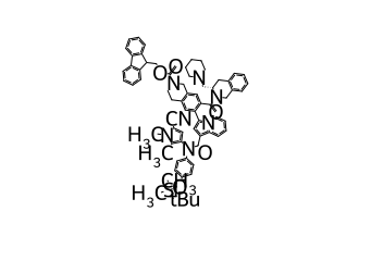 Cc1c(N(C(=O)c2cc(-c3cc4c(cc3C(=O)N3Cc5ccccc5C[C@H]3CN3CCCCC3)CN(C(=O)OCC3c5ccccc5-c5ccccc53)CC4)n3ccccc23)c2ccc(O[Si](C)(C)C(C)(C)C)cc2)cc(C#N)n1C